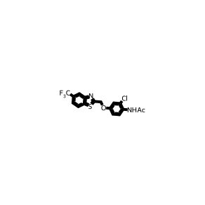 CC(=O)Nc1ccc(OCc2nc3cc(C(F)(F)F)ccc3s2)cc1Cl